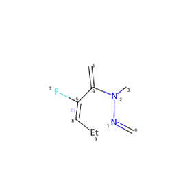 C=NN(C)C(=C)/C(F)=C\CC